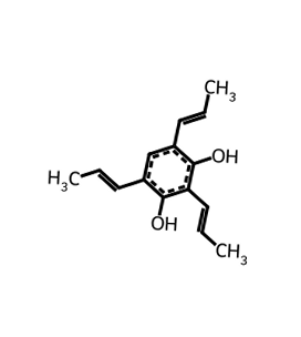 CC=Cc1cc(C=CC)c(O)c(C=CC)c1O